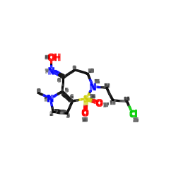 Cn1ccc2c1C(=NO)CCN(CCCCl)S2(=O)=O